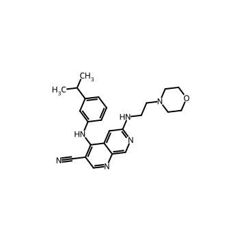 CC(C)c1cccc(Nc2c(C#N)cnc3cnc(NCCN4CCOCC4)cc23)c1